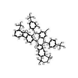 Cc1cc2c3c(c1)N(c1ccc(C(C)(C)C)cc1C)c1c(ccc4c1oc1c(C(C)(C)C)cccc14)B3c1oc3cc4c(cc3c1N2c1ccc(C(C)(C)C)cc1)C(C)(C)CCC4(C)C